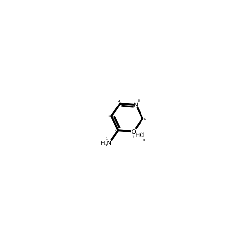 Cl.NC1=CC=NCO1